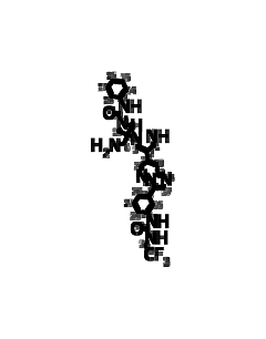 N=C/C(=C\NC1(CN)CN(C(=O)Nc2ccccc2)C1)c1cnn2c(-c3cccc(NC(=O)NCC(F)(F)F)c3)cnc2c1